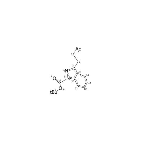 CC(=O)CCc1nn(C(=O)OC(C)(C)C)c2ccccc12